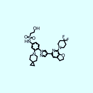 O=S(=O)(CCO)Nc1ccc(-n2cc(-c3cc4c(c(N5CCC(F)(F)CC5)n3)OCC4)cn2)c(N2CCC3(CC2)CC3)c1